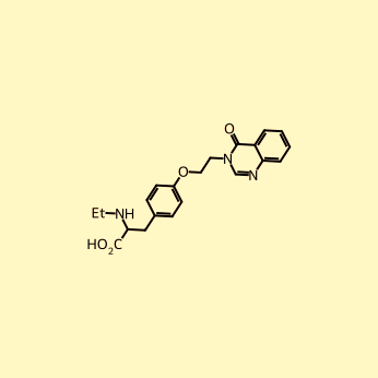 CCNC(Cc1ccc(OCCn2cnc3ccccc3c2=O)cc1)C(=O)O